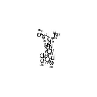 C=CC(=O)N1CCC(N(CCCN(C)C)c2ncc3cc(-c4c(Cl)c(OC)cc(OC)c4Cl)ccc3n2)CC1